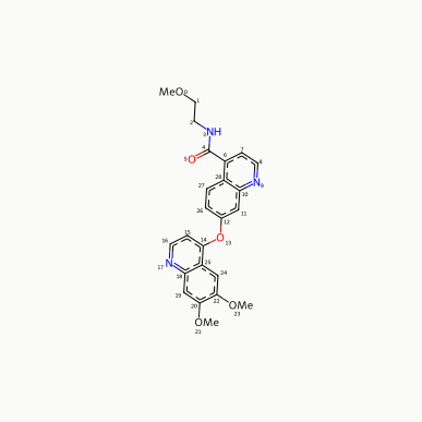 COCCNC(=O)c1ccnc2cc(Oc3ccnc4cc(OC)c(OC)cc34)ccc12